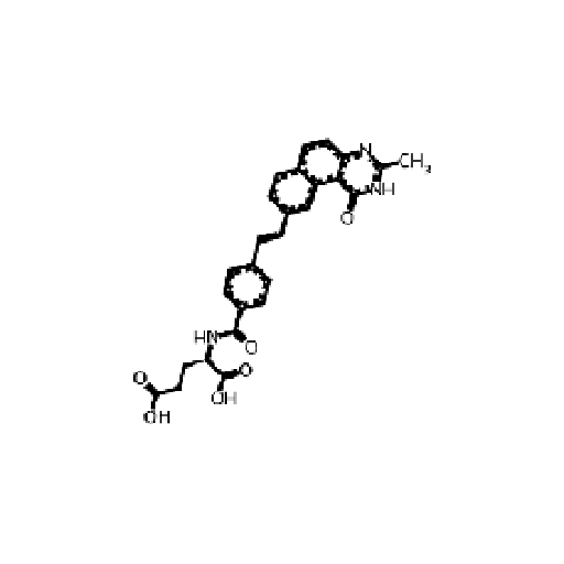 Cc1nc2ccc3ccc(/C=C/c4ccc(C(=O)N[C@H](CCC(=O)O)C(=O)O)cc4)cc3c2c(=O)[nH]1